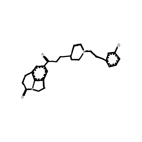 O=C(CCC1CCN(CCc2cccc(Cl)c2)CC1)c1cc2c3c(c1)CCN3C(=O)CC2